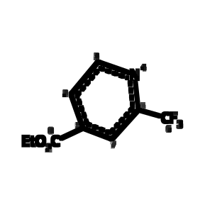 CCOC(=O)c1ccnc(C(F)(F)F)c1